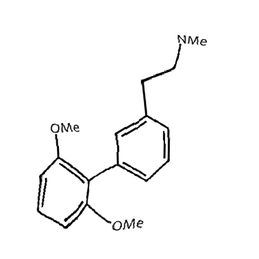 CNCCc1cccc(-c2c(OC)cccc2OC)c1